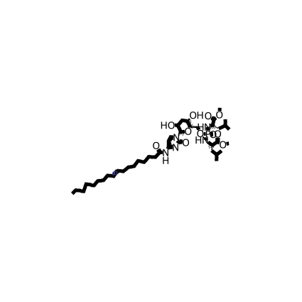 CCCCCCCC/C=C/CCCCCCCC(=O)Nc1ccn([C@@H]2O[C@H](COP(=O)(N[C@@H](CC(C)C)C(=O)OC)N[C@@H](CC(C)C)C(=O)OC)[C@H](O)CC2O)c(=O)n1